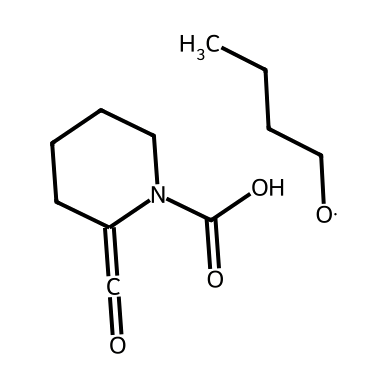 CCCC[O].O=C=C1CCCCN1C(=O)O